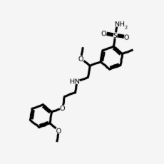 COc1ccccc1OCCNCC(OC)c1ccc(C)c(S(N)(=O)=O)c1